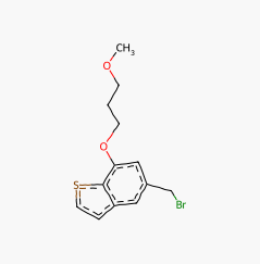 COCCCOc1cc(CBr)cc2ccsc12